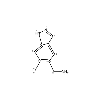 CCc1cc2[nH]ncc2cc1CN